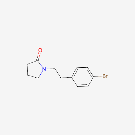 O=C1CCCN1CCc1ccc(Br)cc1